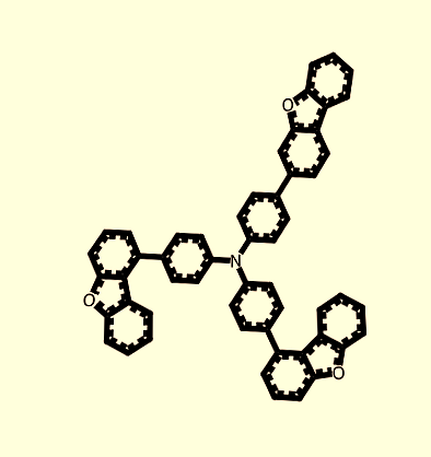 c1ccc2c(c1)oc1cc(-c3ccc(N(c4ccc(-c5cccc6oc7ccccc7c56)cc4)c4ccc(-c5cccc6oc7ccccc7c56)cc4)cc3)ccc12